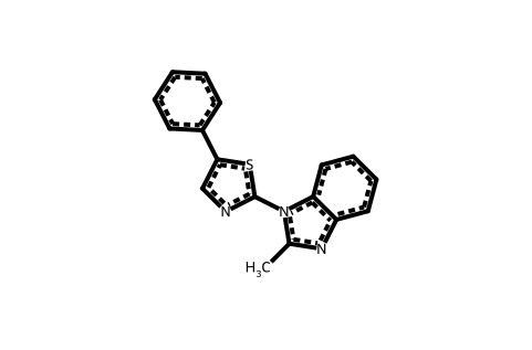 Cc1nc2ccccc2n1-c1ncc(-c2ccccc2)s1